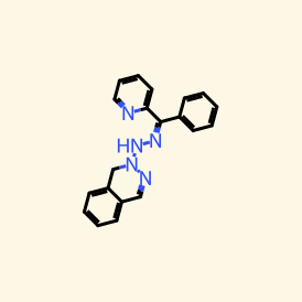 C1=NN(NN=C(c2ccccc2)c2ccccn2)Cc2ccccc21